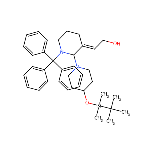 CC(C)(C)[Si](C)(C)OC1CCN(C2C(=CCO)CCCN2C(c2ccccc2)(c2ccccc2)c2ccccc2)CC1